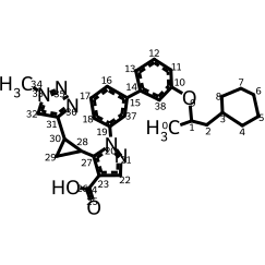 CC(CC1CCCCC1)Oc1cccc(-c2cccc(-n3ncc(C(=O)O)c3C3CC3c3cn(C)nn3)c2)c1